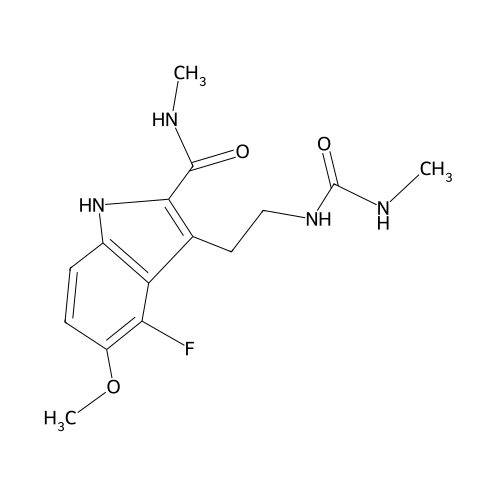 CNC(=O)NCCc1c(C(=O)NC)[nH]c2ccc(OC)c(F)c12